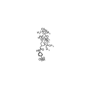 CC(OC(C)(C)C)C(=O)C(C)(C)C(C)(C)OCCC(CC(=O)Nc1ccc(S(=O)(=O)O)cc1)CC(=O)C(C)(C)C